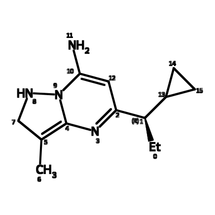 CC[C@@H](C1=NC2=C(C)CNN2C(N)=C1)C1CC1